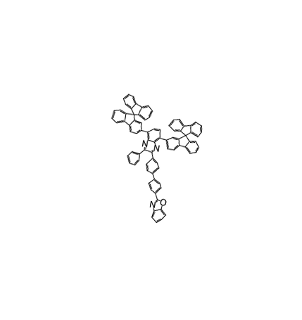 c1ccc(-c2nc3c(-c4ccc5c(c4)C4(c6ccccc6-c6ccccc64)c4ccccc4-5)ccc(-c4ccc5c(c4)C4(c6ccccc6-c6ccccc64)c4ccccc4-5)c3nc2-c2ccc(-c3ccc(-c4nc5ccccc5o4)cc3)cc2)cc1